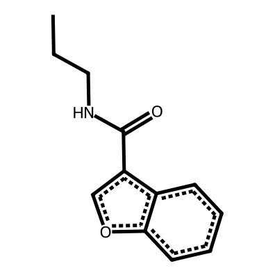 CCCNC(=O)c1coc2ccccc12